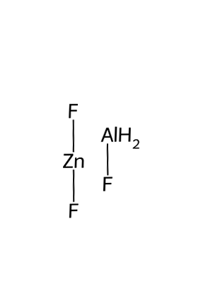 [F][AlH2].[F][Zn][F]